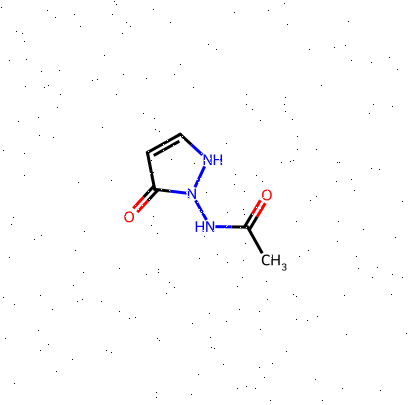 CC(=O)Nn1[nH]ccc1=O